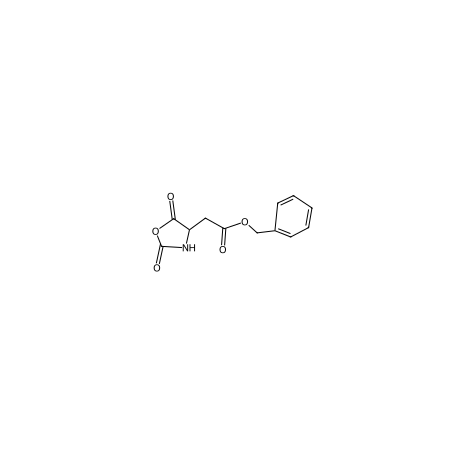 O=C(CC1NC(=O)OC1=O)OCc1ccccc1